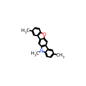 Cc1ccc2oc3cc4c5cc(C)ccc5n(C)c4cc3c2c1